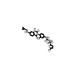 O=C(Nc1ccc(-n2c(=O)[nH]c3cc(NCC4CC4)ccc3c2=O)c(Cl)c1)NS(=O)(=O)c1ccc(Cl)s1